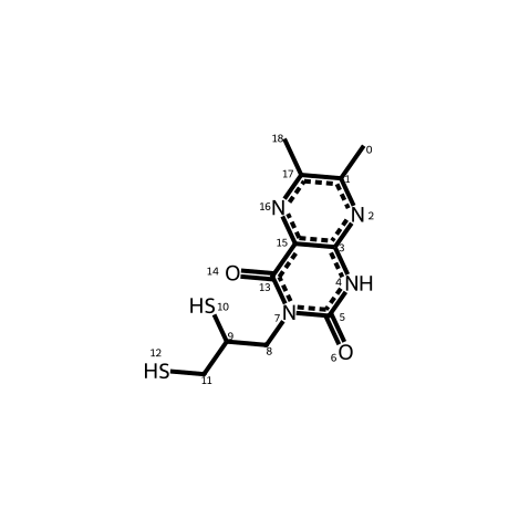 Cc1nc2[nH]c(=O)n(CC(S)CS)c(=O)c2nc1C